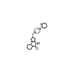 O=c1[nH]c2cc(CN3CCN(c4ccccn4)CC3)cn2c2ccccc12